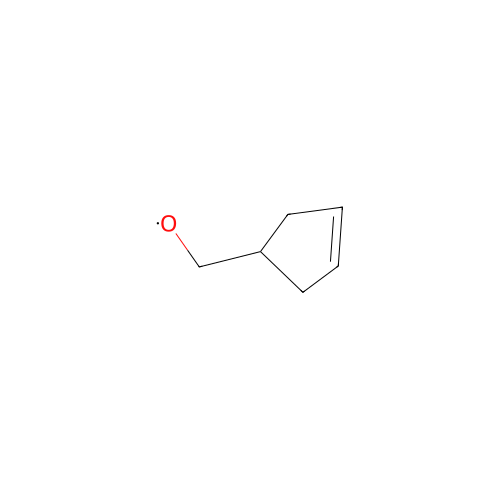 [O]CC1CC=CC1